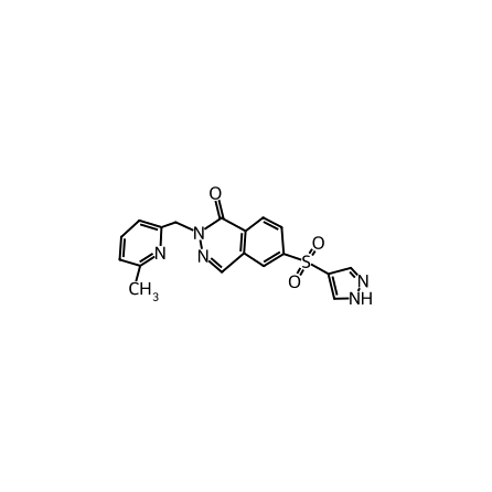 Cc1cccc(Cn2ncc3cc(S(=O)(=O)c4cn[nH]c4)ccc3c2=O)n1